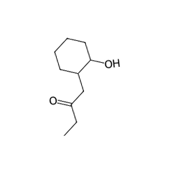 CCC(=O)CC1CCCCC1O